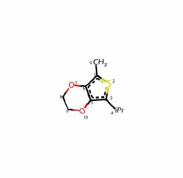 Cc1sc(C(C)C)c2c1OCCO2